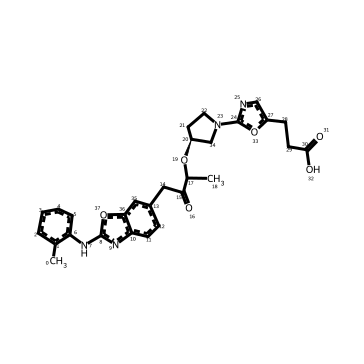 Cc1ccccc1Nc1nc2ccc(CC(=O)C(C)O[C@H]3CCN(c4ncc(CCC(=O)O)o4)C3)cc2o1